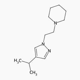 CC(C)c1cnn(CCN2CCCCC2)c1